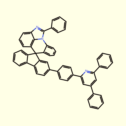 c1ccc(-c2cc(-c3ccccc3)nc(-c3ccc(-c4ccc5c(c4)C4(c6ccccc6-5)c5ccccc5-n5c(-c6ccccc6)nc6cccc4c65)cc3)c2)cc1